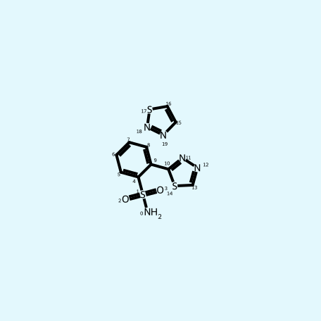 NS(=O)(=O)c1ccccc1-c1nncs1.c1csnn1